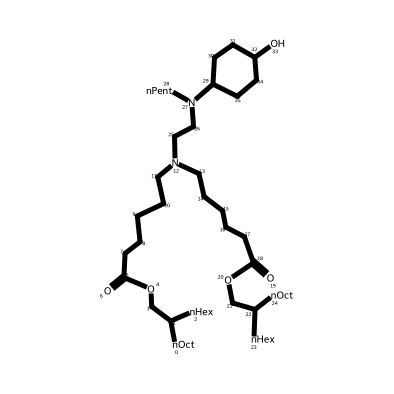 CCCCCCCCC(CCCCCC)COC(=O)CCCCCN(CCCCCC(=O)OCC(CCCCCC)CCCCCCCC)CCN(CCCCC)C1CCC(O)CC1